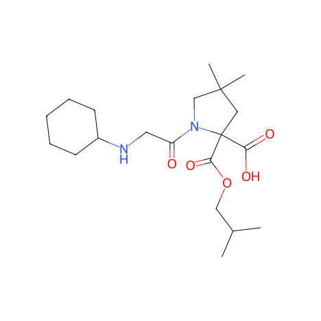 CC(C)COC(=O)C1(C(=O)O)CC(C)(C)CN1C(=O)CNC1CCCCC1